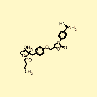 CCCCS(=O)(=O)C(N)(Cc1ccc(OCC2CN(c3ccc(C(=N)N)cc3)C(=O)O2)cc1)C(=O)O